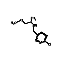 COC[C@@H](C)NCc1ccc(Cl)nn1